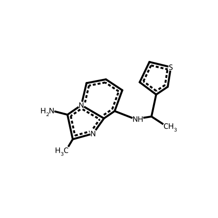 Cc1nc2c(NC(C)c3ccsc3)cccn2c1N